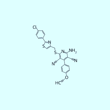 C#COc1ccc(-c2c(C#N)c(N)nc(SCc3csc(-c4ccc(Cl)cc4)n3)c2C#N)cc1